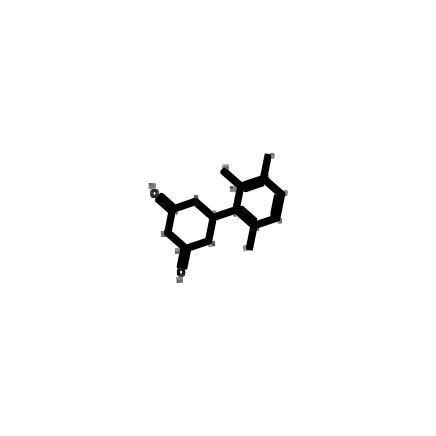 Cc1ccc(C)c(C2CC(=O)CC(=O)C2)c1C